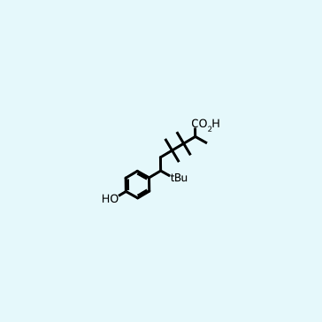 CC(C(=O)O)C(C)(C)C(C)(C)CC(c1ccc(O)cc1)C(C)(C)C